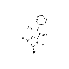 O=C1c2c(F)cc(F)c(F)c2C(=O)N1c1ccccc1